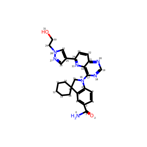 NC(=O)c1ccc2c(c1)C1(CCCCC1)CN2c1ncnc2ccc(-c3cnn(CCO)c3)nc12